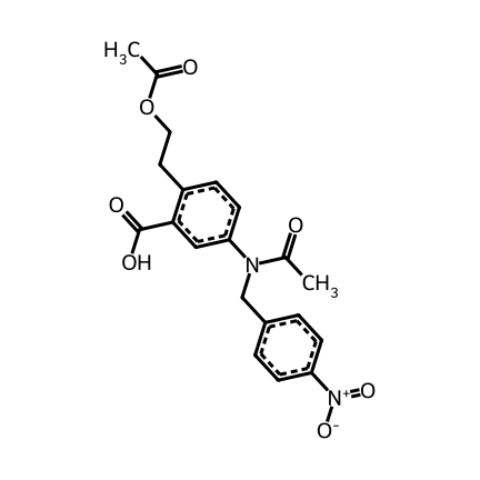 CC(=O)OCCc1ccc(N(Cc2ccc([N+](=O)[O-])cc2)C(C)=O)cc1C(=O)O